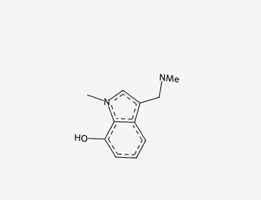 CNCc1cn(C)c2c(O)cccc12